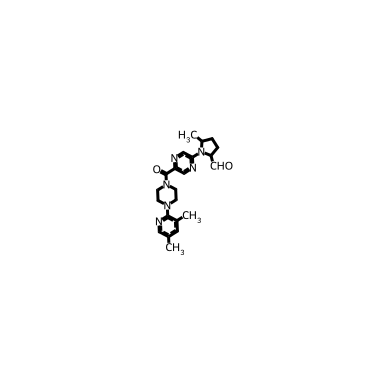 Cc1cnc(N2CCN(C(=O)c3cnc(N4C(C)CCC4C=O)cn3)CC2)c(C)c1